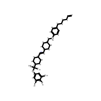 C=CCCCCc1ccc(OCC2CCC(/C=C/C3CCC(C(F)(F)Oc4cc(F)c(F)c(F)c4)CC3)CC2)cc1